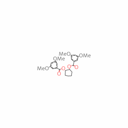 COc1cc(OC)cc(C(=O)OC2CCCCC2OC(=O)c2cc(OC)cc(OC)c2)c1